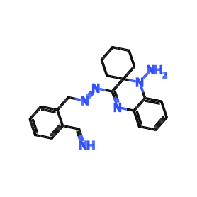 N=Cc1ccccc1CN=NC1=Nc2ccccc2N(N)C12CCCCC2